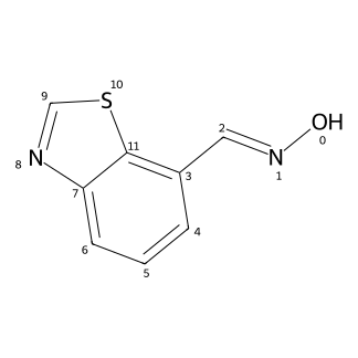 ON=Cc1cccc2ncsc12